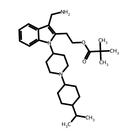 CC(C)C1CCC(N2CCC(n3c(CCOC(=O)C(C)(C)C)c(CN)c4ccccc43)CC2)CC1